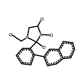 ClCN1CC(Cl)N(Cl)C1(Cl)c1ccccc1-c1ccc2ccccc2c1